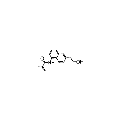 C=C(C)C(=O)Nc1cccc2cc(CCO)ccc12